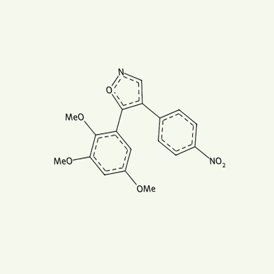 COc1cc(OC)c(OC)c(-c2oncc2-c2ccc([N+](=O)[O-])cc2)c1